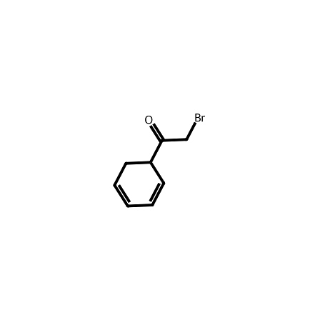 O=C(CBr)C1C=CC=CC1